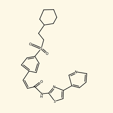 O=C(/C=C\c1ccc(S(=O)(=O)CCC2CCCCC2)cc1)Nc1nc(-c2cccnc2)cs1